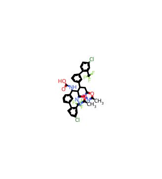 Cc1nnc(CC(c2cccc(-c3ccc(Cl)cc3C(F)(F)F)c2)C(c2nnc(C)o2)C(NC(=O)O)c2cccc(-c3ccc(Cl)cc3C(F)(F)F)c2)o1